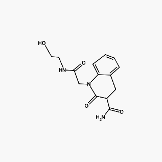 NC(=O)C1Cc2ccccc2N(CC(=O)NCCO)C1=O